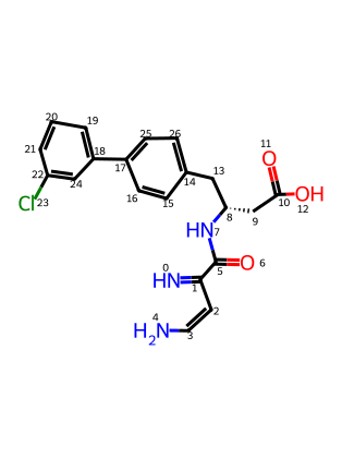 N=C(/C=C\N)C(=O)N[C@@H](CC(=O)O)Cc1ccc(-c2cccc(Cl)c2)cc1